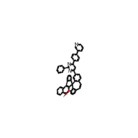 C1=Cc2ccc(-c3cc(-c4ccc(-c5cccnc5)cc4)nc(-c4ccccc4)n3)cc2C2(c3ccccc31)c1ccccc1-c1c2c2ccccc2c2ccccc12